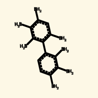 Bc1ccc(-c2c(B)cc(B)c(B)c2B)c(B)c1B